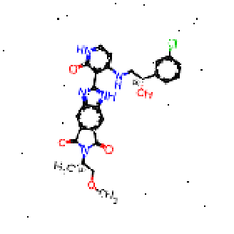 COC[C@H](C)N1C(=O)c2cc3nc(-c4c(NC[C@@H](O)c5cccc(Cl)c5)cc[nH]c4=O)[nH]c3cc2C1=O